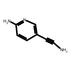 NC#Cc1ccc(N)nc1